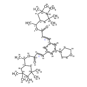 CC(OC(=O)/C=N/c1nc(/N=C/C(=O)OC(C)C2CC(C)(C)N(C)C(C)(C)C2)nc(N2CCOCC2)n1)C1CC(C)(C)N(C)C(C)(C)C1